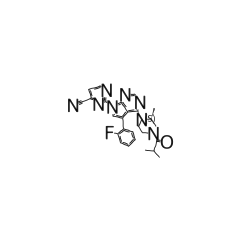 CC(C)C(=O)N1CCN(c2ncnc3c2c(-c2ccccc2F)cn3-c2nccc(C#N)n2)[C@@H](C)C1